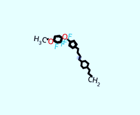 C=CCCC1CCC(/C=C/CCc2ccc(C(F)(F)Oc3ccc(OCC)c(F)c3F)cc2)CC1